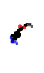 CCOC(=O)C=Cc1ccc2cc(N)ncc2c1